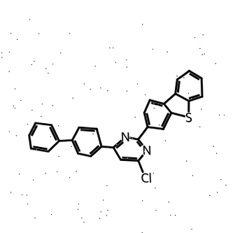 Clc1cc(-c2ccc(-c3ccccc3)cc2)nc(-c2ccc3c(c2)sc2ccccc23)n1